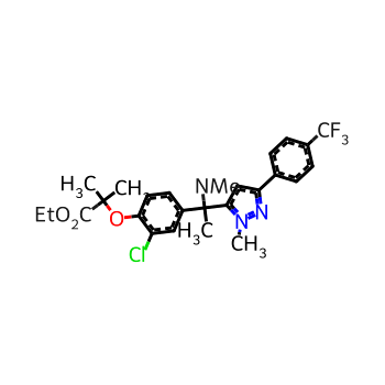 CCOC(=O)C(C)(C)Oc1ccc(C(C)(NC)c2cc(-c3ccc(C(F)(F)F)cc3)nn2C)cc1Cl